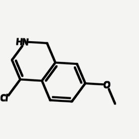 COc1ccc2c(c1)CNC=C2Cl